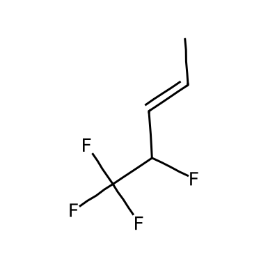 CC=CC(F)C(F)(F)F